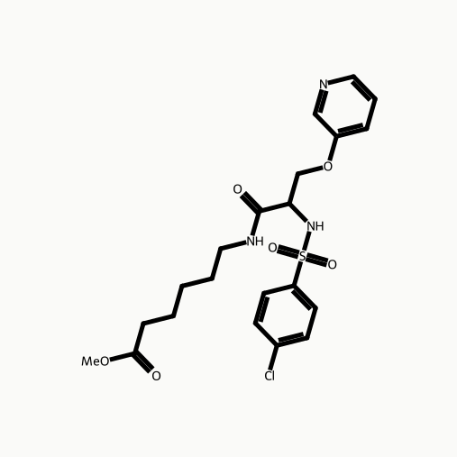 COC(=O)CCCCCNC(=O)C(COc1cccnc1)NS(=O)(=O)c1ccc(Cl)cc1